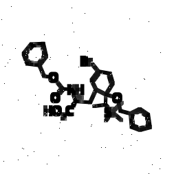 CC(C1(OCc2ccccc2)C=CC(Br)=CC1C[C@H](NC(=O)OCc1ccccc1)C(=O)O)[Si](C)(C)C